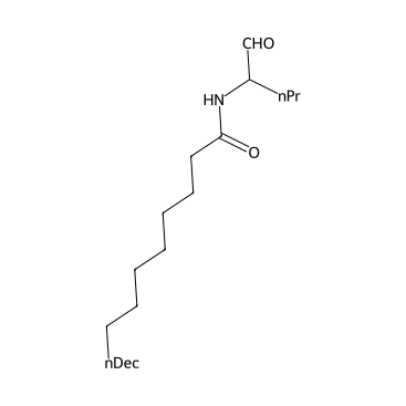 CCCCCCCCCCCCCCCCCC(=O)NC(C=O)CCC